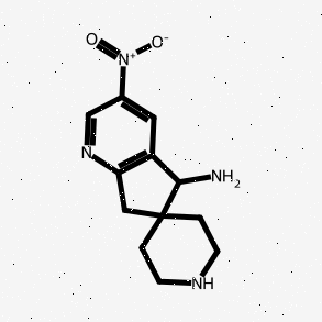 NC1c2cc([N+](=O)[O-])cnc2CC12CCNCC2